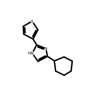 c1cc(-c2nc(C3CCCCC3)c[nH]2)cs1